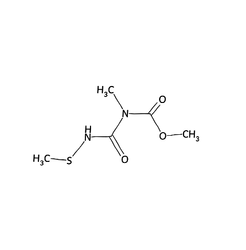 COC(=O)N(C)C(=O)NSC